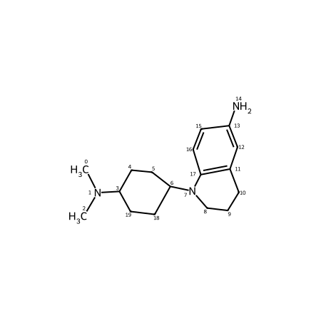 CN(C)C1CCC(N2CCCc3cc(N)ccc32)CC1